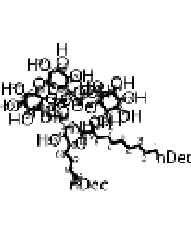 CCCCCCCCCCCCCCCCCCC(O)C(=O)N[C@@H](COP(=O)(O)O[C@H]1C(O)C(O)C(O)[C@@H](O)C1O[C@H]1O[C@H](COP(=O)(O)OC2C(O)C(O)C(O)[C@@H](O)C2O)[C@@H](O)C(O)C1O)[C@H](O)CCCCCCCCCCCCCCC